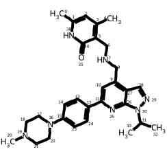 Cc1cc(C)c(CNCc2cc(-c3ccc(N4CCN(C)CC4)cc3)nc3c2cnn3C(C)C)c(=O)[nH]1